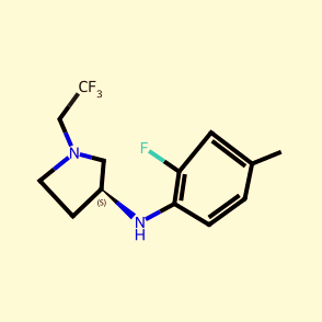 Cc1ccc(N[C@H]2CCN(CC(F)(F)F)C2)c(F)c1